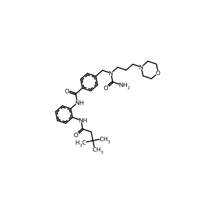 CC(C)(C)CC(=O)Nc1ccccc1NC(=O)c1ccc(CN(CCCN2CCOCC2)C(N)=O)cc1